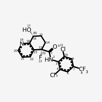 O=C(Nc1c(Cl)cc(C(F)(F)F)cc1Cl)[C@]1(F)CC[C@@H](O)c2ncccc21